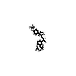 CCC(C)(c1ccc(OC(F)(F)F)cc1)C(C)CCC(C)c1cccc([C@@H](C(C)(C)C)C(F)(F)F)c1